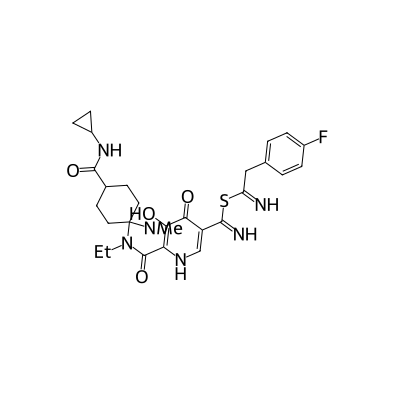 CCN(C(=O)c1[nH]cc(C(=N)SC(=N)Cc2ccc(F)cc2)c(=O)c1O)C1(NC)CCC(C(=O)NC2CC2)CC1